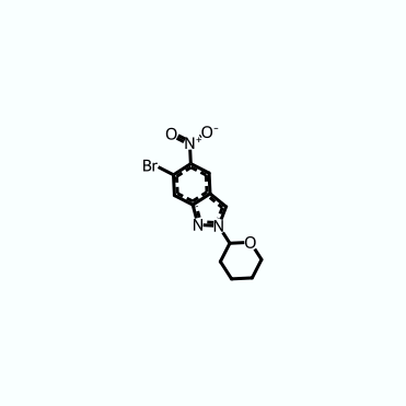 O=[N+]([O-])c1cc2cn(C3CCCCO3)nc2cc1Br